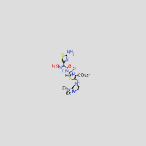 CCN(CC)c1c[n+](CC2=C(C(=O)[O-])N3C(=O)C(NC(=O)C(=NO)c4csc(N)n4)[C@@H]3SC2)ccn1